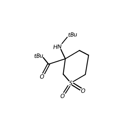 CC(C)(C)NC1(C(=O)C(C)(C)C)CCCS(=O)(=O)C1